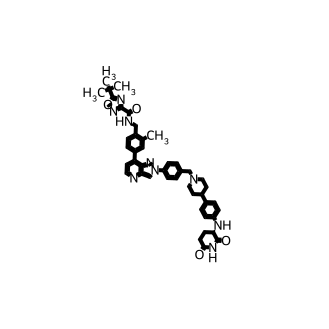 Cc1cc(-c2ccnc3cn(-c4ccc(CN5CCC(c6ccc(N[C@H]7CCC(=O)NC7=O)cc6)CC5)cc4)nc23)ccc1CNC(=O)c1noc(C(C)(C)C)n1